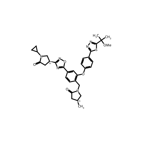 COC(C)(C)c1nnc(-c2ccc(Oc3cc(-c4nc([C@H]5CC(=O)N(C6CC6)C5)no4)ccc3CN3C[C@@H](C)CC3=O)cc2)s1